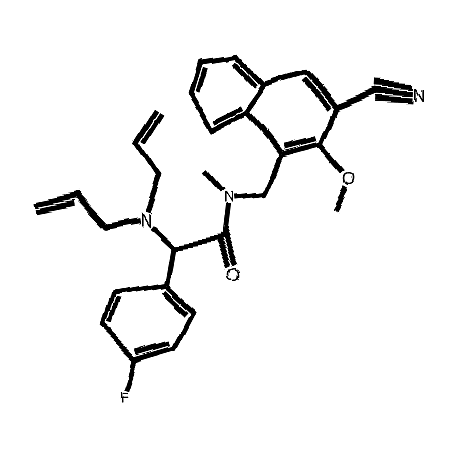 C=CCN(CC=C)C(C(=O)N(C)Cc1c(OC)c(C#N)cc2ccccc12)c1ccc(F)cc1